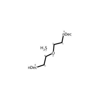 CCCCCCCCCCCCOCCCCCCCCCCCC.S